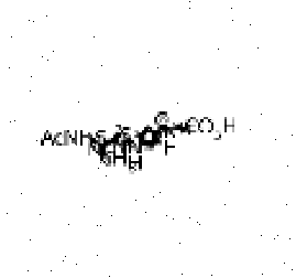 CC(=O)Nc1nc(C)c(-c2csc(Nc3ccc(C(=O)NCCC(=O)O)cc3)n2)s1